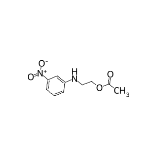 CC(=O)OCCNc1cccc([N+](=O)[O-])c1